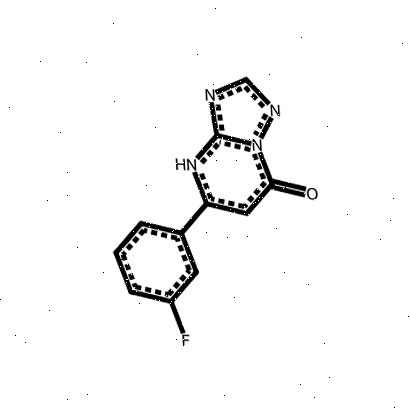 O=c1cc(-c2cccc(F)c2)[nH]c2ncnn12